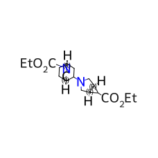 CCOC(=O)C1[C@H]2CN(C3C[C@H]4CC[C@@H]3CN4C(=O)OCC)C[C@@H]12